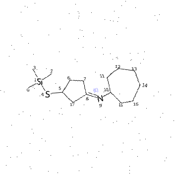 C[Si](C)(C)SC1CC/C(=N\C2CCCCCC2)C1